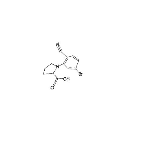 N#Cc1ccc(Br)cc1N1CCCC1C(=O)O